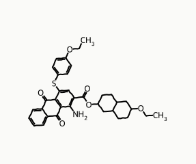 CCOc1ccc(Sc2cc(C(=O)OC3CCC4CC(OCC)CCC4C3)c(N)c3c2C(=O)c2ccccc2C3=O)cc1